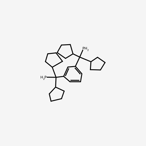 PC(c1cccc(C(P)(C2CCCC2)C2CCCC2)c1)(C1CCCC1)C1CCCC1